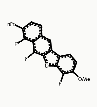 CCCc1ccc2cc3c(oc4c(F)c(OC)ccc43)c(F)c2c1F